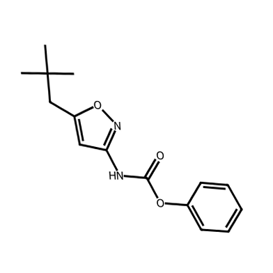 CC(C)(C)Cc1cc(NC(=O)Oc2ccccc2)no1